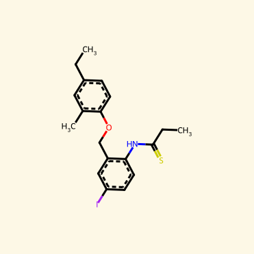 CCC(=S)Nc1ccc(I)cc1COc1ccc(CC)cc1C